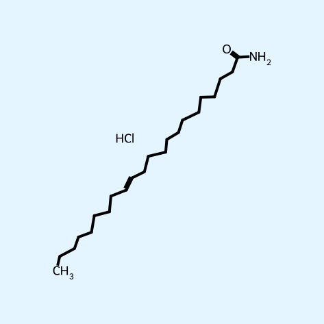 CCCCCCCCC=CCCCCCCCCCCCC(N)=O.Cl